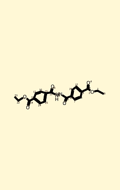 CCOC(=O)c1ccc(C(=O)NNC(=O)c2ccc(C(=O)OCC)cc2)cc1